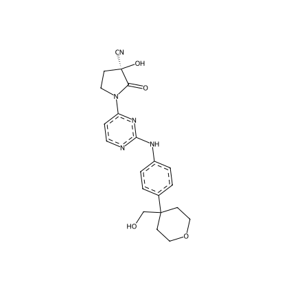 N#C[C@@]1(O)CCN(c2ccnc(Nc3ccc(C4(CO)CCOCC4)cc3)n2)C1=O